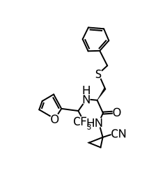 N#CC1(NC(=O)[C@H](CSCc2ccccc2)NC(c2ccco2)C(F)(F)F)CC1